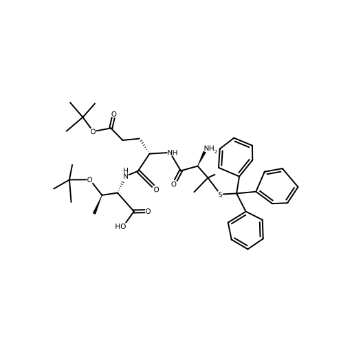 C[C@@H](OC(C)(C)C)[C@H](NC(=O)[C@H](CCC(=O)OC(C)(C)C)NC(=O)[C@@H](N)C(C)(C)SC(c1ccccc1)(c1ccccc1)c1ccccc1)C(=O)O